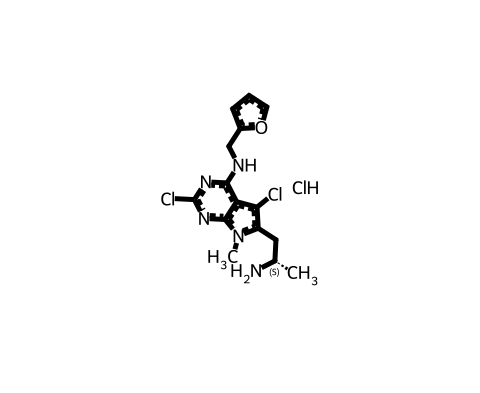 C[C@H](N)Cc1c(Cl)c2c(NCc3ccco3)nc(Cl)nc2n1C.Cl